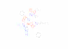 CCCCCN(C[C@H](O)C(CC(C)C)N(C(=O)[C@H](Cc1ccccc1)NC(=O)OC(C)(C)C)[C@@H](Cc1c[nH]cn1)C(N)=O)C(=O)CCc1ccccc1